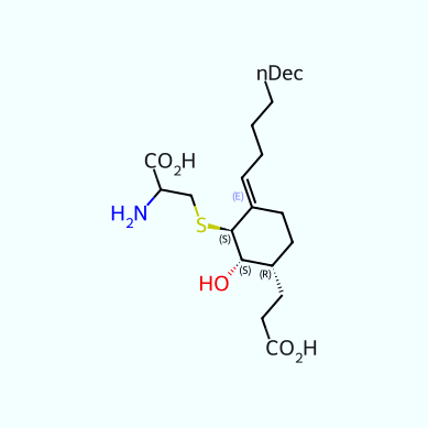 CCCCCCCCCCCCC/C=C1\CC[C@H](CCC(=O)O)[C@H](O)[C@H]1SCC(N)C(=O)O